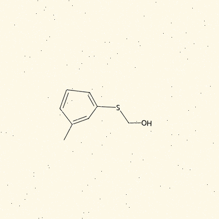 Cc1cccc(SCO)c1